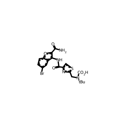 CC(C)(C)N(Cc1nc(C(=O)Nc2c(C(N)=O)oc3ccc(Br)cc23)cs1)C(=O)O